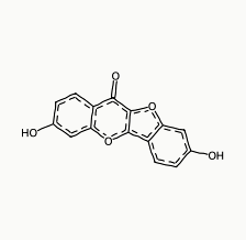 O=c1c2ccc(O)cc2oc2c1oc1cc(O)ccc12